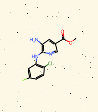 COC(=O)c1cnc(Nc2cc(F)ccc2Cl)c(N)c1